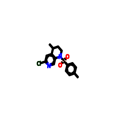 Cc1ccc(S(=O)(=O)N2CCC(C)c3cc(Cl)ncc32)cc1